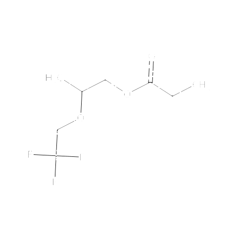 CCC(=O)OCC(C)OCC(F)(F)F